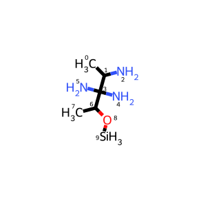 CC(N)C(N)(N)C(C)O[SiH3]